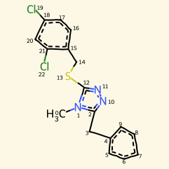 Cn1c(Cc2ccccc2)nnc1SCc1ccc(Cl)cc1Cl